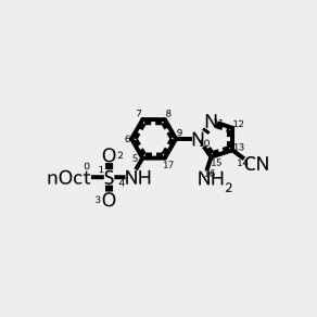 CCCCCCCCS(=O)(=O)Nc1cccc(-n2ncc(C#N)c2N)c1